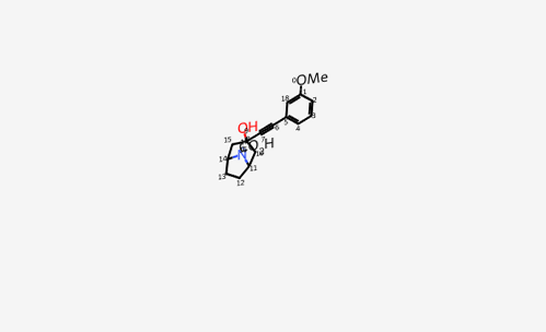 COc1cccc(C#CC2(O)CC3CCC(C2)N3C(=O)O)c1